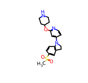 CS(=O)(=O)c1ccc2c(c1)CCN2c1ccnc(OC2CCNCC2)c1